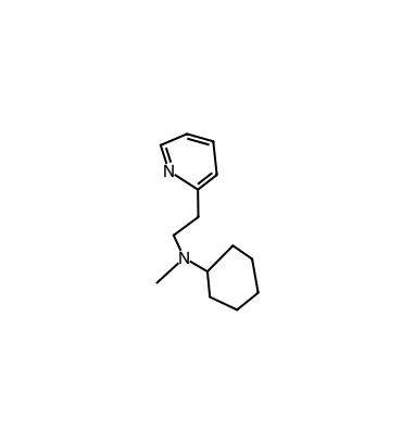 CN(CCc1ccccn1)C1CCCCC1